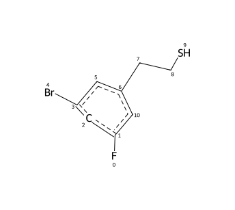 Fc1cc(Br)cc(CCS)c1